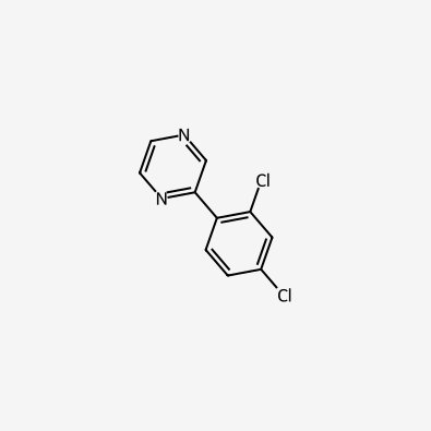 Clc1ccc(-c2cnccn2)c(Cl)c1